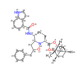 CC(C)C[C@@H](B1O[C@@H]2C[C@@H]3C[C@@H](C3(C)C)[C@]2(C)O1)N1OC(Cc2ccccc2)CC1CNC(=O)c1cccc2[nH]ccc12